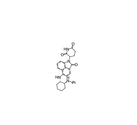 CC(C)N[C@H]1CCCC[C@@H]1Nc1ccc2c3c(cccc13)N(C1CCC(=O)NC1=O)C2=O